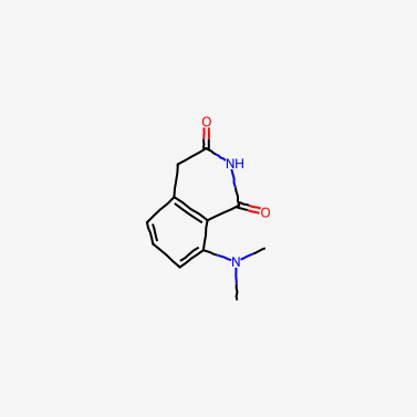 CN(C)c1cccc2c1C(=O)NC(=O)C2